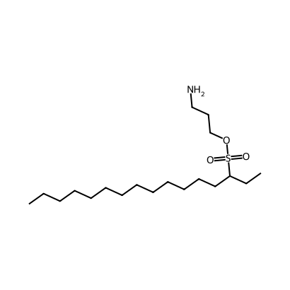 CCCCCCCCCCCCCC(CC)S(=O)(=O)OCCCN